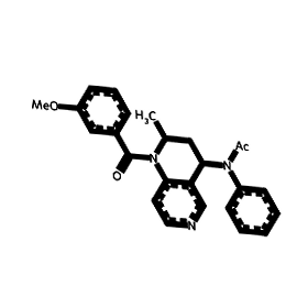 COc1cccc(C(=O)N2c3ccncc3C(N(C(C)=O)c3ccccc3)CC2C)c1